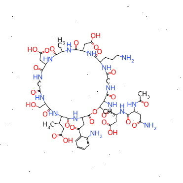 CC(=O)NC(CC(N)=O)C(=O)NC(CC(=O)O)C(=O)NC1C(=O)NCC(=O)NC(CCCN)C(=O)NC(CC(=O)O)C(=O)NC(C)C(=O)NC(CC(=O)O)C(=O)NCC(=O)NC(CO)C(=O)NC(C(C)CC(=O)O)C(=O)NC(CC(=O)c2ccccc2N)C(=O)OC1C